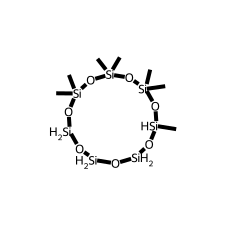 C[SiH]1O[SiH2]O[SiH2]O[SiH2]O[Si](C)(C)O[Si](C)(C)O[Si](C)(C)O1